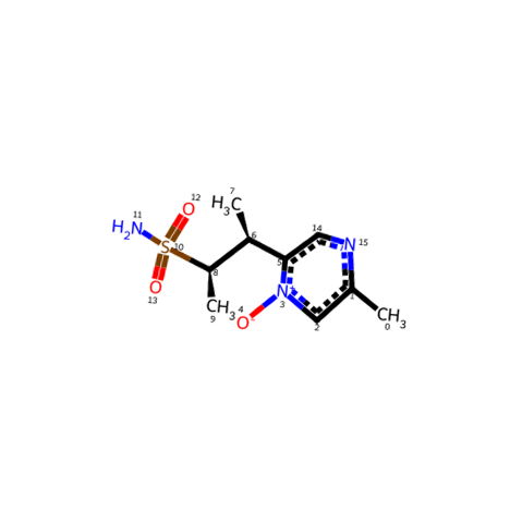 Cc1c[n+]([O-])c([C@H](C)[C@@H](C)S(N)(=O)=O)cn1